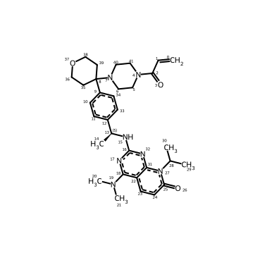 C=CC(=O)N1CCN(C2(c3ccc([C@H](C)Nc4nc(N(C)C)c5ccc(=O)n(C(C)C)c5n4)cc3)CCOCC2)CC1